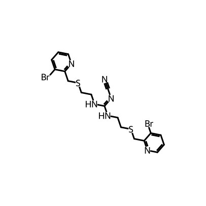 N#CN=C(NCCSCc1ncccc1Br)NCCSCc1ncccc1Br